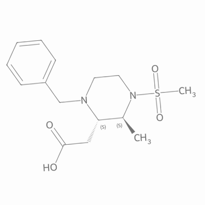 C[C@H]1[C@H](CC(=O)O)N(Cc2ccccc2)CCN1S(C)(=O)=O